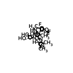 Cc1cc2sc(-c3c(C)nc(N[C@H](C)c4ccc(OC(F)(F)F)cc4F)nc3NC3C[C@H](CO)[C@@H](O)[C@H]3O)nc2c(C)n1